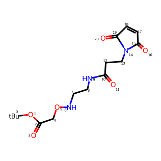 CC(C)(C)OC(=O)CONCCNC(=O)CCN1C(=O)C=CC1=O